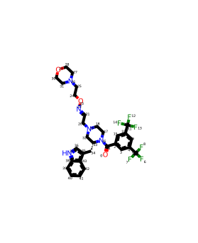 O=C(c1cc(C(F)(F)F)cc(C(F)(F)F)c1)N1CCN(CC=NOCCN2CCOCC2)C[C@H]1Cc1c[nH]c2ccccc12